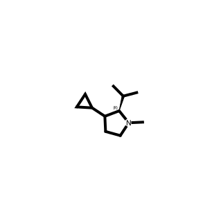 CC(C)[C@@H]1C(C2CC2)CCN1C